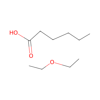 CCCCCC(=O)O.CCOCC